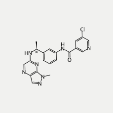 C[C@H](Nc1cnc2cnn(C)c2n1)c1cccc(NC(=O)c2cncc(Cl)c2)c1